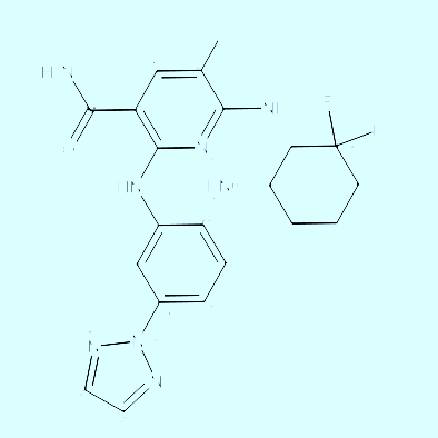 NC(=O)c1cc(F)c(N[C@H]2[C@@H](N)CCCC2(F)F)nc1Nc1cccc(-n2nccn2)c1